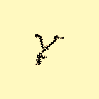 CC/C=C\CC1C(CC(=O)OCC(COC(=O)CCCCCCC/C=C\C/C=C\CCCCC)OC(=O)CCCCCCC/C=C\C/C=C\CCCCC)CCC1OC(=O)C1(C)CCN(C)C1